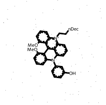 CCCCCCCCCCCC[n+]1c2cccc(OC)c2c2c3c(cccc31)N(c1cccc(O)c1)c1cccc(OC)c1-2